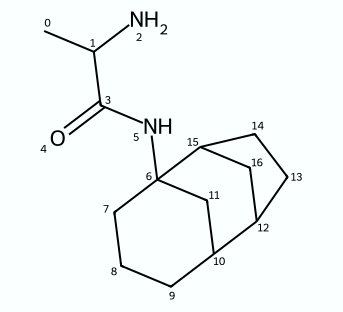 CC(N)C(=O)NC12CCCC(C1)C1CCC2C1